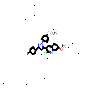 CCOc1ccc2cc(C3CC(c4ccc(I)cc4)=NN3c3ccc(C(=O)O)cc3)c(Cl)nc2c1